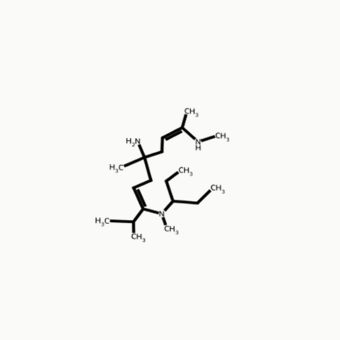 CCC(CC)N(C)/C(=C\CC(C)(N)C/C=C(/C)NC)C(C)C